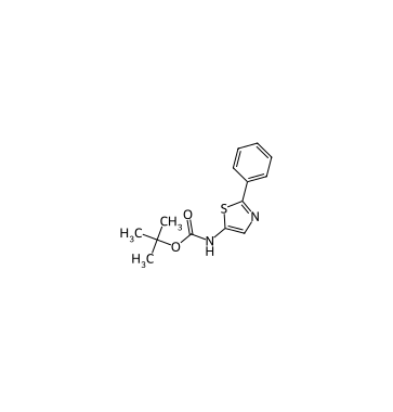 CC(C)(C)OC(=O)Nc1cnc(-c2ccccc2)s1